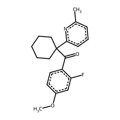 COc1ccc(C(=O)C2(c3cccc(C)n3)CCCCC2)c(F)c1